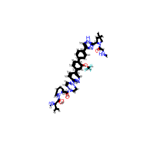 CNCC(=O)N1CC(C)(C)CC1c1nc(-c2ccc(-c3ccc(-c4ccc(N5CCN(C(=O)C6CCCN6C(=O)C(NC)C(C)C)CC5)nc4)cc3OC(F)(F)F)cc2)c[nH]1